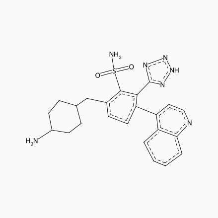 NC1CCC(Cc2ccc(-c3ccnc4ccccc34)c(-c3nn[nH]n3)c2S(N)(=O)=O)CC1